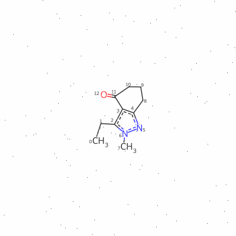 CCc1c2c(nn1C)CCCC2=O